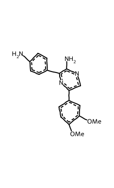 COc1ccc(-c2cnc(N)c(-c3ccc(N)cc3)n2)cc1OC